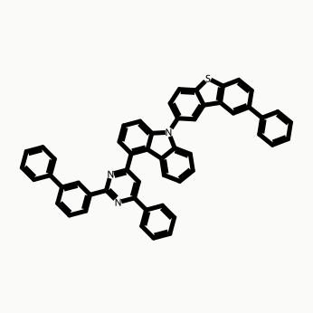 c1ccc(-c2cccc(-c3nc(-c4ccccc4)cc(-c4cccc5c4c4ccccc4n5-c4ccc5sc6ccc(-c7ccccc7)cc6c5c4)n3)c2)cc1